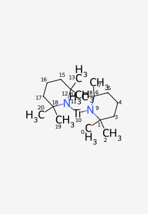 CC1(C)CCCC(C)(C)[N]1[Ti][N]1C(C)(C)CCCC1(C)C